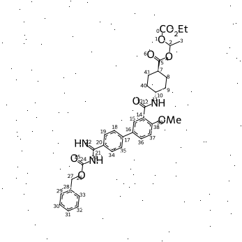 CCOC(=O)OC(C)OC(=O)[C@H]1CC[C@H](NC(=O)c2cc(-c3ccc(C(=N)NC(=O)OCc4ccccc4)cc3)ccc2OC)CC1